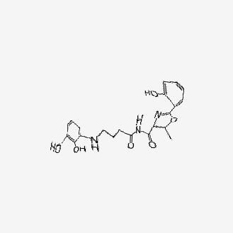 CC1OC(c2ccccc2O)=NC1C(=O)NC(=O)CCCNc1cccc(O)c1O